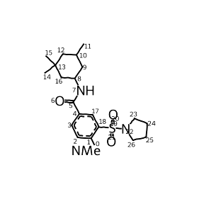 CNc1ccc(C(=O)NC2CC(C)CC(C)(C)C2)cc1S(=O)(=O)N1CCCC1